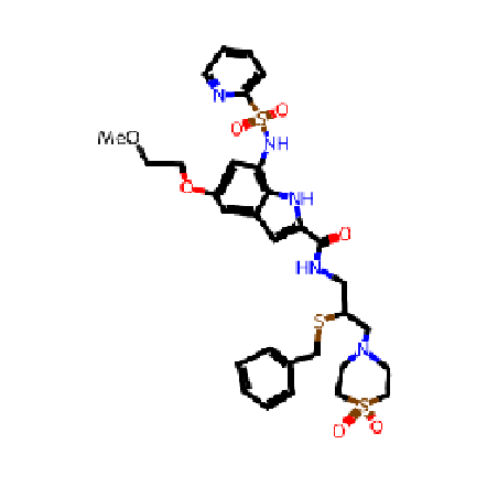 COCCOc1cc(NS(=O)(=O)c2ccccn2)c2[nH]c(C(=O)NCC(CN3CCS(=O)(=O)CC3)SCc3ccccc3)cc2c1